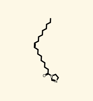 CCCCCCCC/C=C\CCCCCCCC(=O)N1C=NCC1